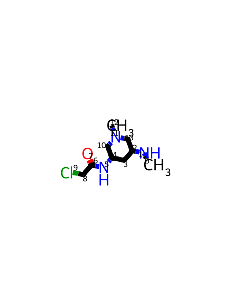 CNC1CC(NC(=O)CCl)CN(C)C1